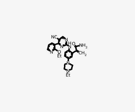 C=C(C(N)=O)c1cc(N2CCN(CC)CC2)ccc1Nc1ncc(C#N)c(-c2cccnc2OCC)n1